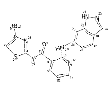 CC(C)(C)c1csc(NC(=O)c2cccnc2Nc2ccc3cn[nH]c3c2)n1